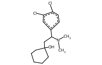 CN(C)C(CC1(O)CCCCC1)c1ccc(Cl)c(Cl)c1